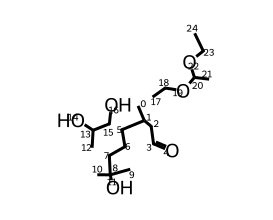 CC(CC=O)CCCC(C)(C)O.CC(O)CO.CCOC(C)OCC